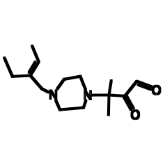 CC=C(CC)CN1CCN(C(C)(C)C(=O)C=O)CC1